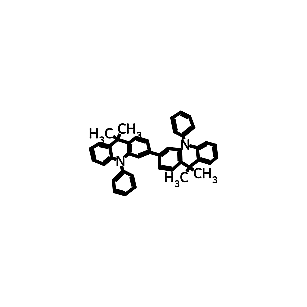 CC1(C)c2ccccc2N(c2ccccc2)c2cc(-c3ccc4c(c3)N(c3ccccc3)c3ccccc3C4(C)C)ccc21